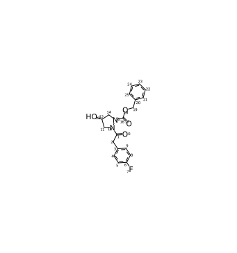 O=C(Cc1ccc(F)cc1)N1CC(O)CN1C(=O)OCc1ccccc1